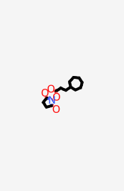 O=C(CCC1CCCCCC1)ON1C(=O)CCC1=O